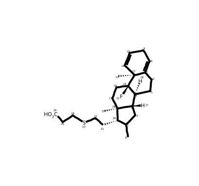 CC1C[C@H]2[C@@H]3CCC4=CCC=C[C@]4(C)[C@@]3(F)CC[C@]2(C)[C@H]1CCSCCC(=O)O